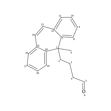 CC1(CCCC=O)c2ccccc2C=Cc2ccccc21